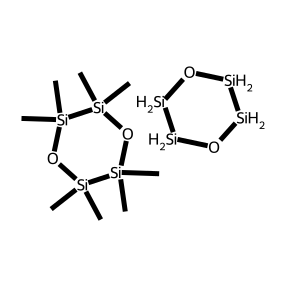 C[Si]1(C)O[Si](C)(C)[Si](C)(C)O[Si]1(C)C.O1[SiH2][SiH2]O[SiH2][SiH2]1